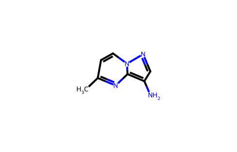 Cc1ccn2ncc(N)c2n1